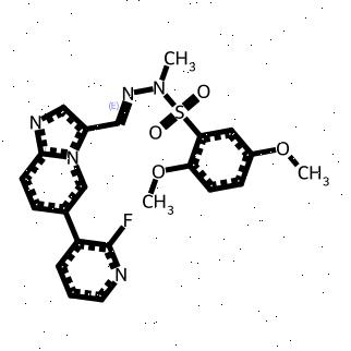 COc1ccc(OC)c(S(=O)(=O)N(C)/N=C/c2cnc3ccc(-c4cccnc4F)cn23)c1